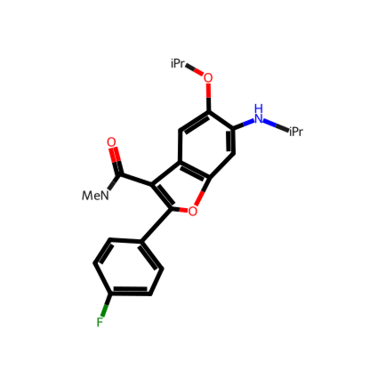 CNC(=O)c1c(-c2ccc(F)cc2)oc2cc(NC(C)C)c(OC(C)C)cc12